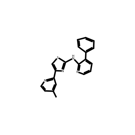 Cc1ccnc(-c2csc(Nc3ncccc3-c3ccccc3)n2)c1